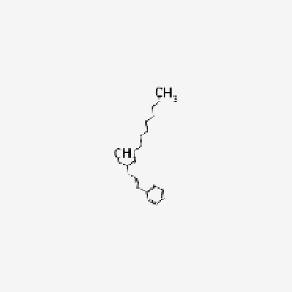 CCCCCCCCCCC(CC)CC=Cc1ccccc1